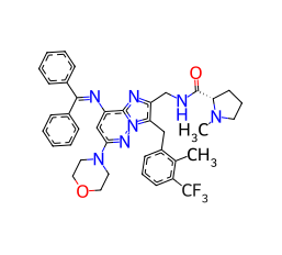 Cc1c(Cc2c(CNC(=O)[C@@H]3CCCN3C)nc3c(N=C(c4ccccc4)c4ccccc4)cc(N4CCOCC4)nn23)cccc1C(F)(F)F